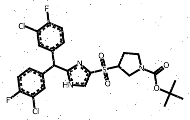 CC(C)(C)OC(=O)N1CCC(S(=O)(=O)c2c[nH]c(C(c3ccc(F)c(Cl)c3)c3ccc(F)c(Cl)c3)n2)C1